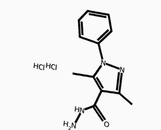 Cc1nn(-c2ccccc2)c(C)c1C(=O)NN.Cl.Cl